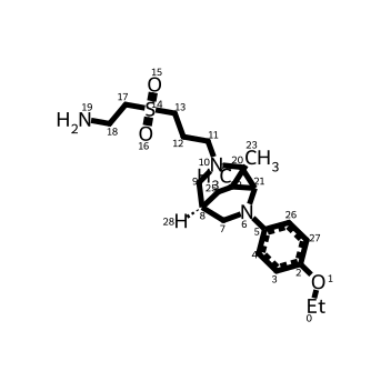 CCOc1ccc(N2C[C@H]3CN(CCCS(=O)(=O)CCN)CC2C(C)(C)C3)cc1